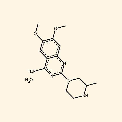 COc1cc2nc(N3CCNC(C)C3)nc(N)c2cc1OC.O